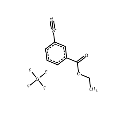 CCOC(=O)c1cccc([N+]#N)c1.F[B-](F)(F)F